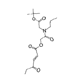 CCCN(CC(=O)OC(C)(C)C)C(=O)COC(=O)/C=C/C(=O)CC